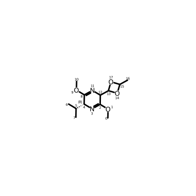 COC1=N[C@H](C(C)C)C(OC)=NC1C1OC(C)O1